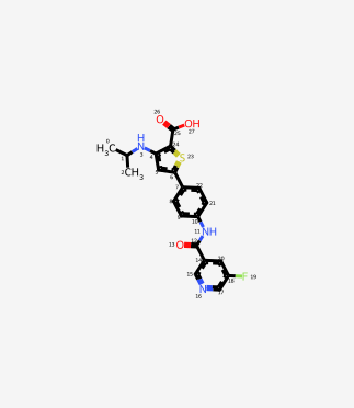 CC(C)Nc1cc(-c2ccc(NC(=O)c3cncc(F)c3)cc2)sc1C(=O)O